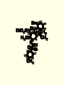 C=C(C)[C@H]1C/C(=N\NS(=O)(=O)c2ccc(C)cc2)C(C)=C2[C@@H](C(=O)OCC)O[C@@H](c3ccccc3Br)[C@@H]21